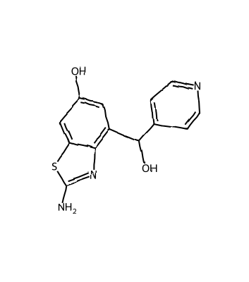 Nc1nc2c(C(O)c3ccncc3)cc(O)cc2s1